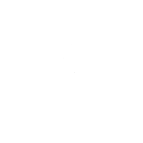 [CH2]COOO